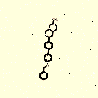 CC1CCC2CC(c3ccc(-c4ccc(OCc5ccccc5)cc4)cc3)CCC2C1